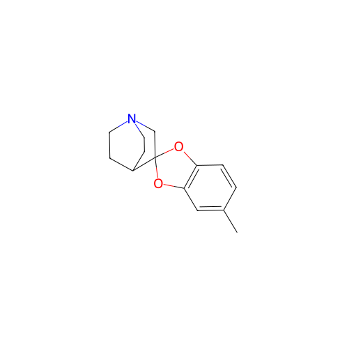 Cc1ccc2c(c1)OC1(CN3CCC1CC3)O2